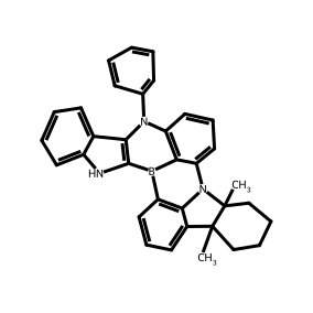 CC12CCCCC1(C)N1c3cccc4c3B(c3cccc2c31)c1[nH]c2ccccc2c1N4c1ccccc1